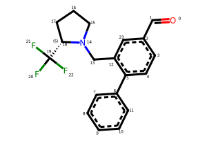 O=Cc1ccc(-c2ccccc2)c(CN2CCC[C@H]2C(F)(F)F)c1